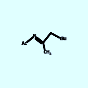 CC(=O)/N=C(\C)CC(C)(C)C